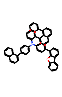 c1ccc(-c2cccc3cccc(-c4ccccc4N(c4ccc(-c5cccc6ccccc56)cc4)c4ccc(-c5cccc6c5oc5ccccc56)cc4)c23)cc1